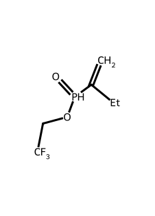 C=C(CC)[PH](=O)OCC(F)(F)F